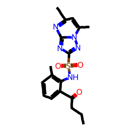 CCCC(=O)c1cccc(C)c1NS(=O)(=O)c1nc2nc(C)cc(C)n2n1